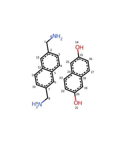 NCc1ccc2cc(CN)ccc2c1.Oc1ccc2cc(O)ccc2c1